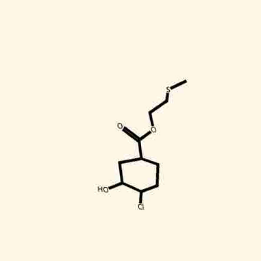 CSCCOC(=O)C1CCC(Cl)C(O)C1